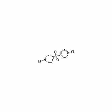 CCN1CCN(S(=O)(=O)c2ccc(Cl)cc2)CC1